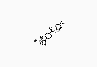 CCC(C)S(=O)(=O)NC1CCC(C(=O)Nc2ccc(C(C)=O)cc2)CC1